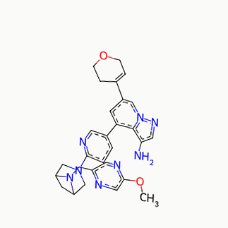 COc1cnc(CN2C3CC2CN(c2ccc(-c4cc(C5=CCOCC5)cn5ncc(N)c45)cn2)C3)cn1